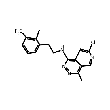 Cc1c(CCNc2nnc(C)c3cnc(Cl)cc23)cccc1C(F)(F)F